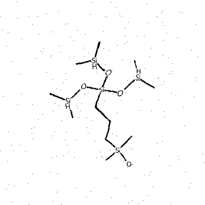 C[SiH](C)O[Si](CCC[Si](C)(C)[O])(O[SiH](C)C)O[SiH](C)C